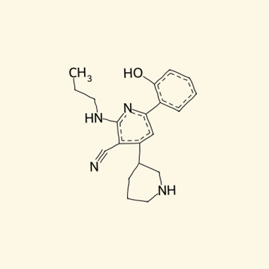 CCCNc1nc(-c2ccccc2O)cc(C2CCCNC2)c1C#N